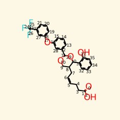 O=C(O)CC/C=C\CC1COC(c2cccc(Oc3cccc(C(F)(F)F)c3)c2)OC1c1ccccc1O